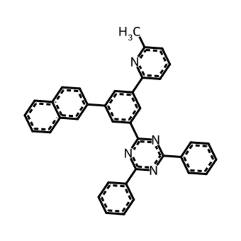 Cc1cccc(-c2cc(-c3ccc4ccccc4c3)cc(-c3nc(-c4ccccc4)nc(-c4ccccc4)n3)c2)n1